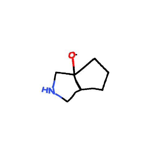 [O]C12CCCC1CNC2